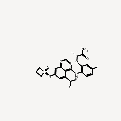 C[C@@H](Oc1cc(F)ccc1Nc1ncnc2cc(N=S3(=O)CCC3)cc(C(F)F)c12)C(N)=O